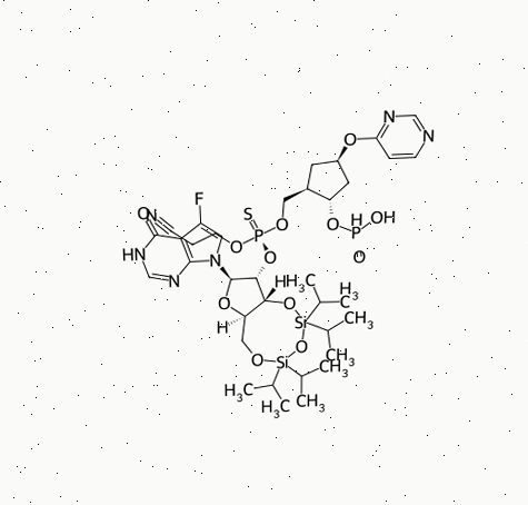 CC(C)[Si]1(C(C)C)OC[C@H]2O[C@@H](n3cc(F)c4c(=O)[nH]cnc43)[C@H](O[P@](=S)(OCCC#N)OC[C@H]3C[C@@H](Oc4ccncn4)C[C@@H]3O[PH](=O)O)[C@@H]2O[Si](C(C)C)(C(C)C)O1